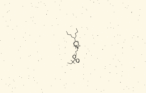 CCCCC(CCCC)c1cc[n+](CCCOC(=O)C(C)(C)CC)cc1